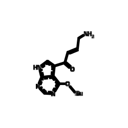 CCC(C)Oc1ncnc2[nH]cc(C(=O)C=CCN)c12